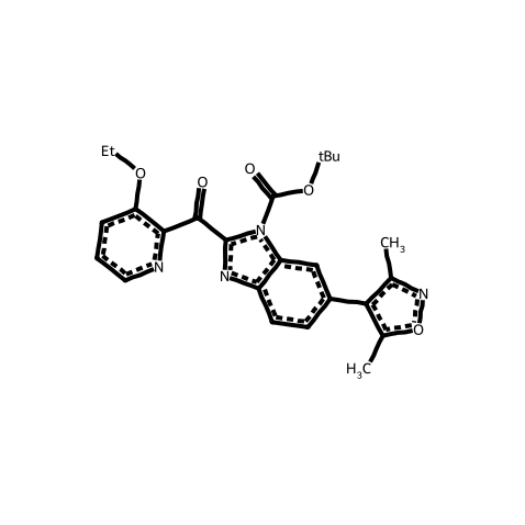 CCOc1cccnc1C(=O)c1nc2ccc(-c3c(C)noc3C)cc2n1C(=O)OC(C)(C)C